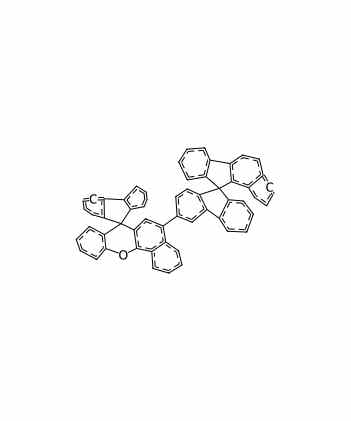 c1ccc2c(c1)Oc1c(cc(-c3ccc4c(c3)-c3ccccc3C43c4ccccc4-c4ccc5ccccc5c43)c3ccccc13)C21c2ccccc2-c2ccccc21